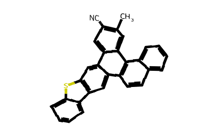 Cc1cc2c(cc1C#N)c1cc3sc4ccccc4c3cc1c1ccc3ccccc3c12